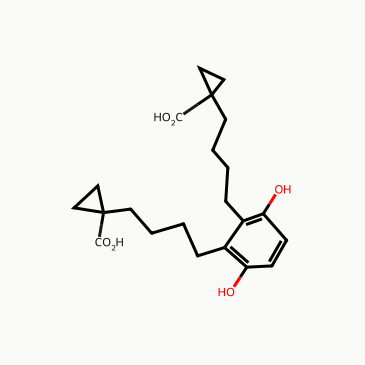 O=C(O)C1(CCCCc2c(O)ccc(O)c2CCCCC2(C(=O)O)CC2)CC1